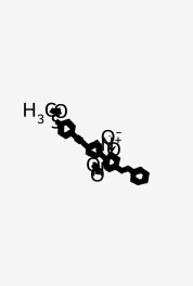 CC(=O)Sc1ccc(C#Cc2ccc(-c3ccc(CCc4ccccc4)cc3[N+](=O)[O-])c([N+](=O)[O-])c2)cc1